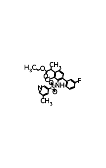 CCOC(=O)C(C)c1ccc(-c2cccc(F)c2)c(NS(=O)(=O)c2cncc(C)c2)c1Cl